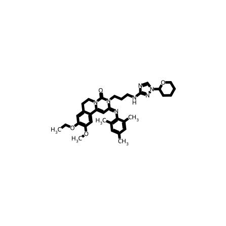 CCOc1cc2c(cc1OC)-c1c/c(=N\c3c(C)cc(C)cc3C)n(CCCNc3ncn(C4CCCCO4)n3)c(=O)n1CC2